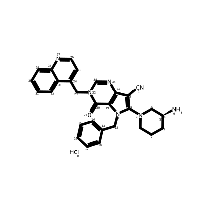 Cl.N#Cc1c(N2CCC[C@H](N)C2)n(Cc2ccccc2)c2c(=O)n(Cc3ccnc4ccccc34)cnc12